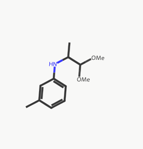 COC(OC)C(C)Nc1cccc(C)c1